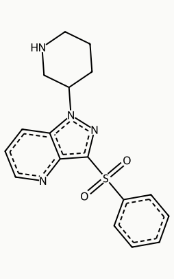 O=S(=O)(c1ccccc1)c1nn(C2CCCNC2)c2cccnc12